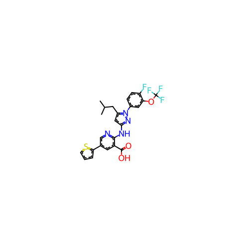 CC(C)Cc1cc(Nc2ncc(-c3cccs3)cc2C(=O)O)nn1-c1ccc(F)c(OC(F)(F)F)c1